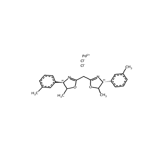 Cc1cccc([C@H]2N=C(CC3=N[C@H](c4cccc(C)c4)C(C)O3)OC2C)c1.[Cl-].[Cl-].[Pd+2]